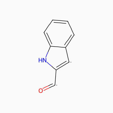 O=[C]c1[c]c2ccccc2[nH]1